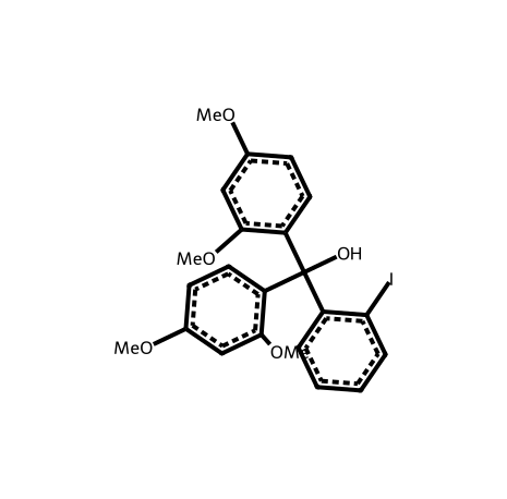 COc1ccc(C(O)(c2ccccc2I)c2ccc(OC)cc2OC)c(OC)c1